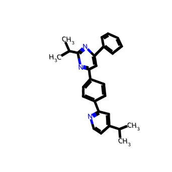 CC(C)c1ccnc(-c2ccc(-c3cc(-c4ccccc4)nc(C(C)C)n3)cc2)c1